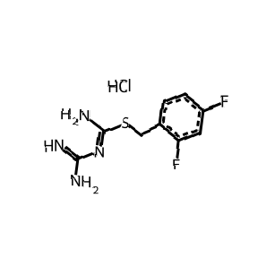 Cl.N=C(N)N=C(N)SCc1ccc(F)cc1F